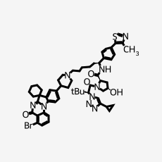 Cc1ncsc1-c1ccc([C@H](CCCCCN2CCC(c3ccc4c(c3)C3(CCCCC3)c3nc(=O)c5c(Br)cccc5n3-4)CC2)NC(=O)[C@H]2C[C@H](O)CN2C(=O)[C@@H](n2cc(C3CC3)nn2)C(C)(C)C)cc1